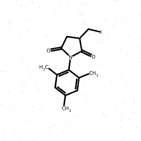 Cc1cc(C)c(N2C(=O)CC(CI)C2=O)c(C)c1